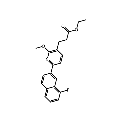 CCOC(=O)CCc1ccc(-c2ccc3cccc(F)c3c2)nc1OC